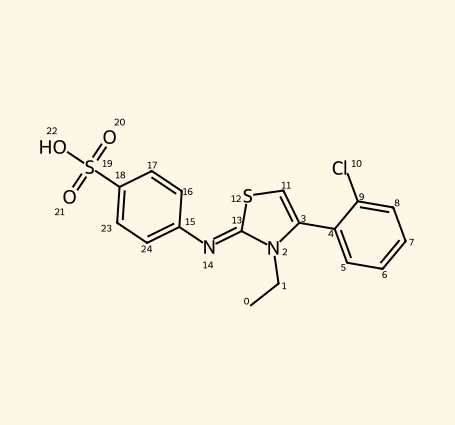 CCn1c(-c2ccccc2Cl)csc1=Nc1ccc(S(=O)(=O)O)cc1